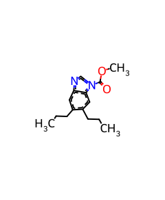 CCCc1cc2ncn(C(=O)OC)c2cc1CCC